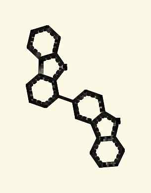 c1ccc2c(c1)sc1ccc(-c3cccc4c3sc3ccccc34)cc12